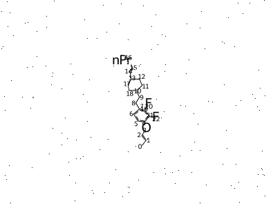 C/C=C/Oc1ccc(CCC2CCC(/C=C/CCC)CC2)c(F)c1F